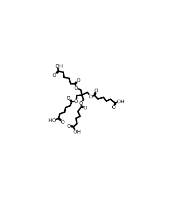 O=C(O)CCCCC(=O)OCC(COC(=O)CCCCC(=O)O)(COC(=O)CCCCC(=O)O)COC(=O)CCCCC(=O)O